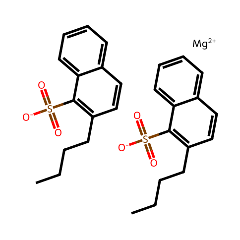 CCCCc1ccc2ccccc2c1S(=O)(=O)[O-].CCCCc1ccc2ccccc2c1S(=O)(=O)[O-].[Mg+2]